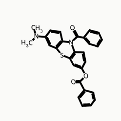 CN(C)c1ccc2c(c1)Sc1cc(OC(=O)c3ccccc3)ccc1N2C(=O)c1ccccc1